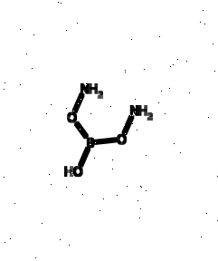 NOB(O)ON